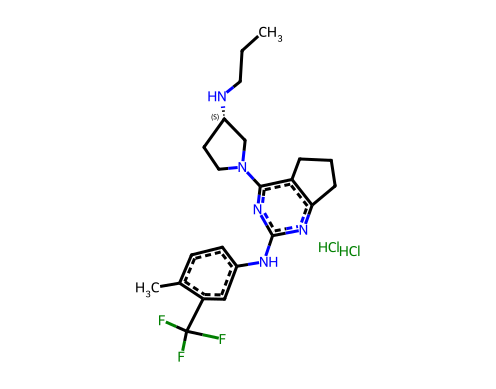 CCCN[C@H]1CCN(c2nc(Nc3ccc(C)c(C(F)(F)F)c3)nc3c2CCC3)C1.Cl.Cl